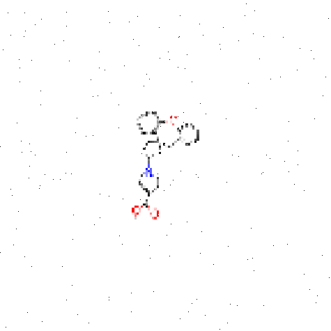 COC(=O)C1=CCN(C2CCC3(Cc4ccccc4Oc4ccccc43)C2)CC1